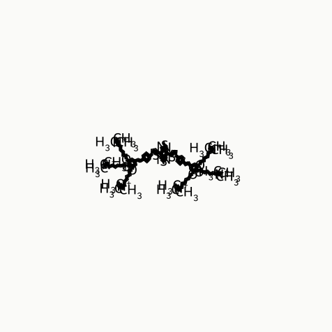 C[N+](C)(C)CCCCCCOc1cc(/C=C/c2ccc(-c3ccc(-c4c5c(c(-c6ccc(-c7ccc(/C=C/c8cc(OCCCCCC[N+](C)(C)C)c(OCCCCCC[N+](C)(C)C)c(OCCCCCC[N+](C)(C)C)c8)cc7)s6)c6nsnc46)N=S=N5)s3)cc2)cc(OCCCCCC[N+](C)(C)C)c1OCCCCCC[N+](C)(C)C